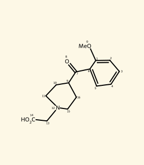 COc1ccccc1C(=O)C1CCN(CC(=O)O)CC1